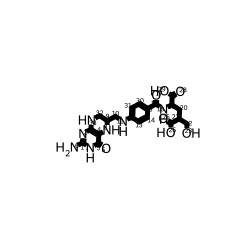 Nc1nc2c(c(=O)[nH]1)NC(CNc1ccc(C(=O)NC(CC(CO)C(=O)O)C(=O)O)cc1)CN2